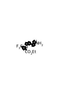 CCOC(=O)Cc1ccc(C(F)(F)F)cc1OC1CCc2ccc(-c3cccc4c(N)nccc34)cc21